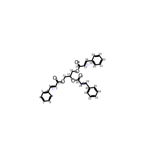 O=C(/C=C/c1ccccc1)OCC(COC(=O)/C=C/c1ccccc1)OC(=O)/C=C/c1ccccc1